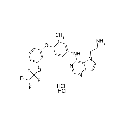 Cc1cc(Nc2ncnc3ccn(CCN)c23)ccc1Oc1cccc(OC(F)(F)C(F)F)c1.Cl.Cl